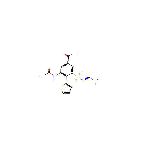 CCCC(=O)Nc1cc(C(=O)OC)cc(S(=O)(=O)N=CN(C)C)c1-c1cccs1